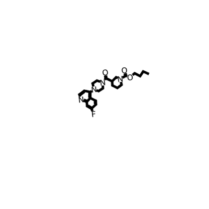 CCCCOC(=O)N1CCCC(C(=O)N2CCN(c3ccnc4cc(F)ccc34)CC2)C1